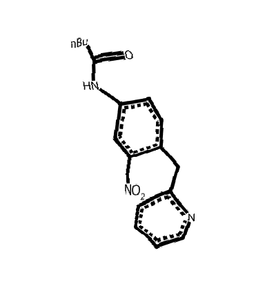 CCCCC(=O)Nc1ccc(Cc2ccccn2)c([N+](=O)[O-])c1